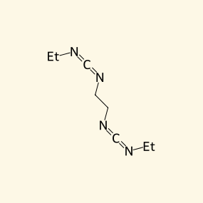 CCN=C=NCCN=C=NCC